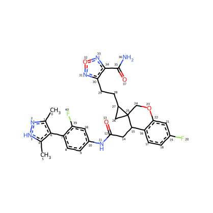 Cc1n[nH]c(C)c1-c1ccc(NC(=O)CC2c3ccc(F)cc3OCC23CC3CCc2nonc2C(N)=O)cc1F